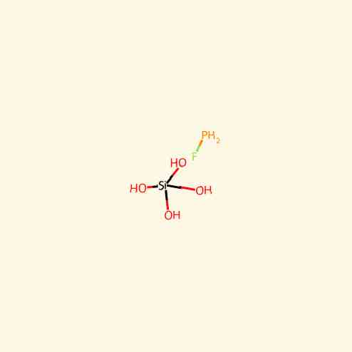 FP.O[Si](O)(O)O